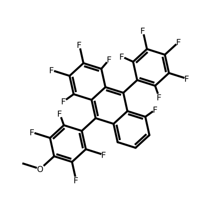 COc1c(F)c(F)c(-c2c3cccc(F)c3c(-c3c(F)c(F)c(F)c(F)c3F)c3c(F)c(F)c(F)c(F)c23)c(F)c1F